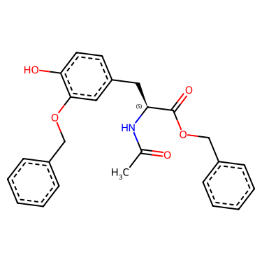 CC(=O)N[C@@H](Cc1ccc(O)c(OCc2ccccc2)c1)C(=O)OCc1ccccc1